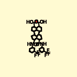 O=C(O)c1ccc2c3ccc(C(=O)Nc4cccc(C(F)(F)F)c4)c4c(C(=O)Nc5cccc(C(F)(F)F)c5)ccc(c5ccc(C(=O)O)c1c25)c43